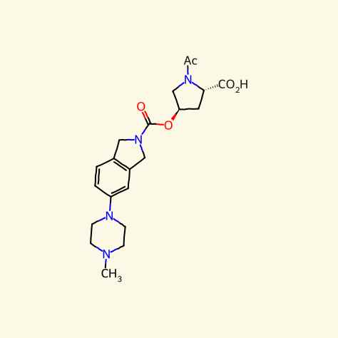 CC(=O)N1C[C@H](OC(=O)N2Cc3ccc(N4CCN(C)CC4)cc3C2)C[C@H]1C(=O)O